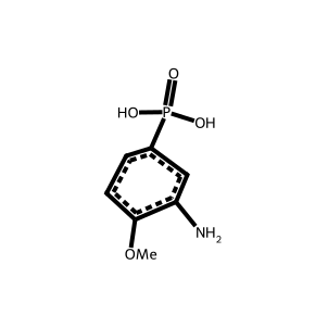 COc1ccc(P(=O)(O)O)cc1N